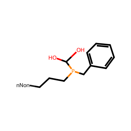 CCCCCCCCCCCCP(Cc1ccccc1)C(O)O